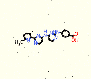 Cc1cccc(-c2nccc(Nc3ccnc(Nc4ccc(C(=O)O)cc4)n3)n2)n1